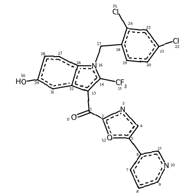 O=C(c1ncc(-c2cccnc2)o1)c1c(C(F)(F)F)n(Cc2ccc(Cl)cc2Cl)c2ccc(O)cc12